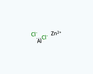 [Al].[Cl-].[Cl-].[Zn+2]